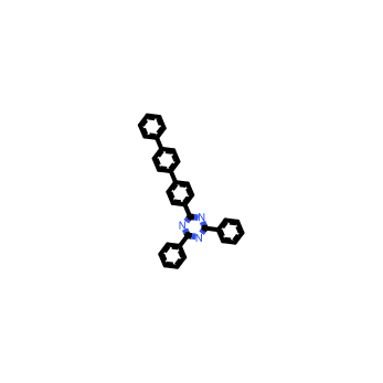 c1ccc(-c2ccc(-c3ccc(-c4nc(-c5ccccc5)nc(-c5ccccc5)n4)cc3)cc2)cc1